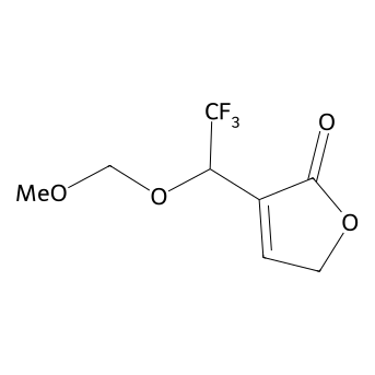 COCOC(C1=CCOC1=O)C(F)(F)F